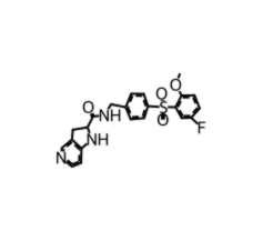 COc1ccc(F)cc1S(=O)(=O)c1ccc(CNC(=O)C2Cc3cnccc3N2)cc1